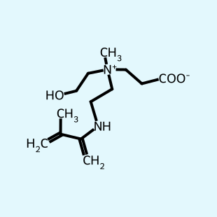 C=C(C)C(=C)NCC[N+](C)(CCO)CCC(=O)[O-]